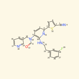 N#Cc1ccc(-c2ccc(N(C=O)Cc3cccnc3)c(NCCc3cccc(F)c3)n2)s1